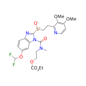 CCOC(=O)OCCN(C)C(=O)n1c([S+]([O-])CCc2nccc(OC)c2OC)nc2ccc(OC(F)F)cc21